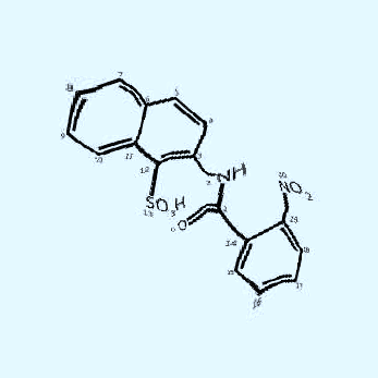 O=C(Nc1ccc2ccccc2c1S(=O)(=O)O)c1ccccc1[N+](=O)[O-]